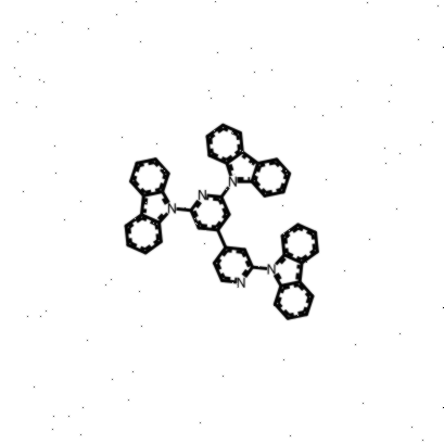 c1ccc2c(c1)c1ccccc1n2-c1cc(-c2cc(-n3c4ccccc4c4ccccc43)nc(-n3c4ccccc4c4ccccc43)c2)ccn1